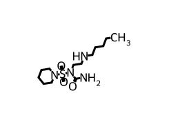 CCCCCNCCN(C(N)=O)S(=O)(=O)N1CCCCC1